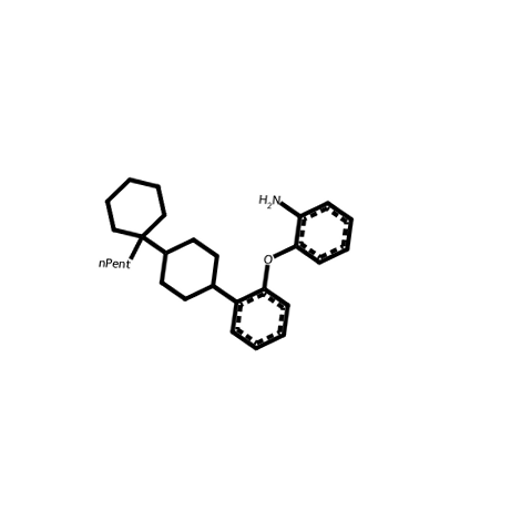 CCCCCC1(C2CCC(c3ccccc3Oc3ccccc3N)CC2)CCCCC1